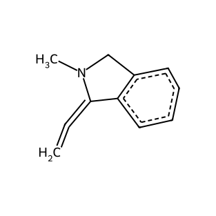 C=C=C1c2ccccc2CN1C